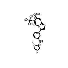 COc1cc2ncc(-c3cccc(N[C@H]4CNC[C@@H]4F)n3)n2cc1C(C)(O)C(F)(F)F